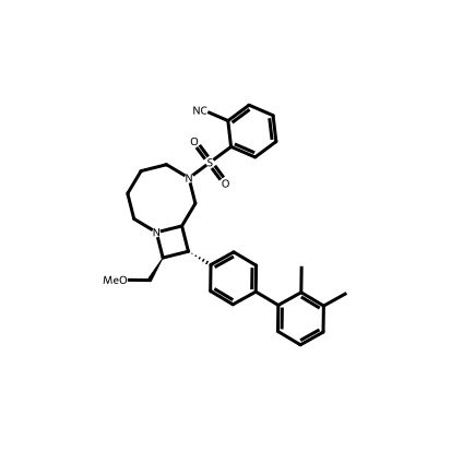 COC[C@@H]1[C@@H](c2ccc(-c3cccc(C)c3C)cc2)C2CN(S(=O)(=O)c3ccccc3C#N)CCCCN21